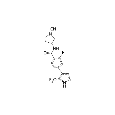 N#CN1CCC(NC(=O)c2ccc(-c3cn[nH]c3C(F)(F)F)cc2F)C1